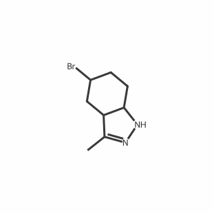 CC1=NNC2CCC(Br)CC12